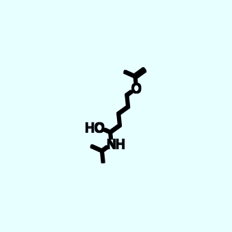 C=C(C)OCCCCC(O)NC(C)C